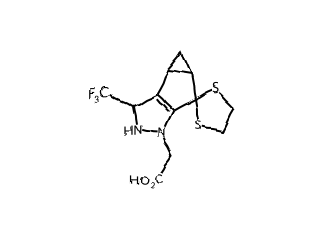 O=C(O)CN1NC(C(F)(F)F)C2=C1C1(SCCS1)C1CC21